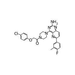 Cc1cc(-c2ccc3nc(N)nc(N4CCN(C(=O)COc5ccc(Cl)cc5)CC4)c3n2)ccc1F